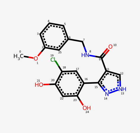 COc1cccc(CNC(=O)c2c[nH]nc2-c2cc(Cl)c(O)cc2O)c1